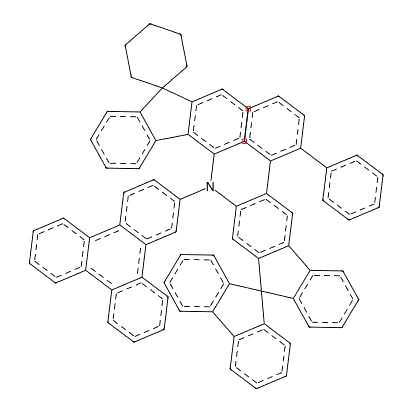 c1ccc(-c2ccccc2-c2cc3c(cc2N(c2ccc4c5ccccc5c5ccccc5c4c2)c2cccc4c2-c2ccccc2C42CCCCC2)C2(c4ccccc4-c4ccccc42)c2ccccc2-3)cc1